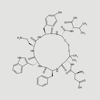 CC(C)[C@H](NC(=O)[C@@H]1CSSC(C)(C)[C@H](NC(=O)[C@@H](N)CC(=O)O)C(=O)N[C@@H](Cc2ccccc2)C(=O)N[C@H](Cc2c[nH]c3ccccc23)C(=O)N[C@@H](CCN)C(=O)N[C@@H](Cc2ccc(O)cc2)C(=O)N1)C(=O)O